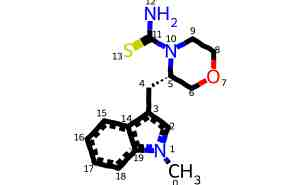 Cn1cc(C[C@H]2COCCN2C(N)=S)c2ccccc21